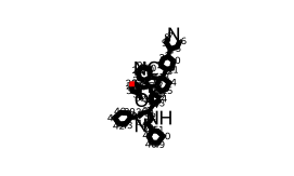 N#Cc1cc(-c2ccncc2)ccc1-c1cccc2c1-c1ccccc1C21c2ccccc2Oc2c(C3C=C(c4ccccc4)N=C(c4ccccc4)N3)cccc21